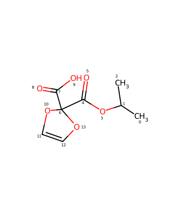 CC(C)OC(=O)C1(C(=O)O)OC=CO1